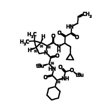 C=CCNC(=O)C(=O)C(CC1CC1)NC(=O)[C@@H]1[C@@H]2[C@H](CN1C(=O)[C@@H](NC(=O)[C@@H](NC(=O)OC(C)(C)C)C1CCCCC1)C(C)(C)C)C2(C)C